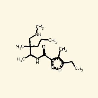 CCCC(C)(CNC)C(C)NC(=O)c1noc(CC)c1C